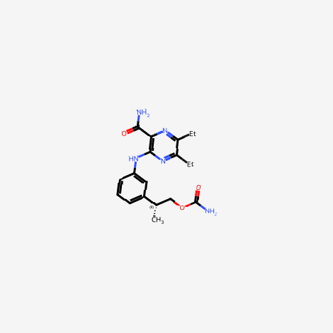 CCc1nc(Nc2cccc([C@@H](C)COC(N)=O)c2)c(C(N)=O)nc1CC